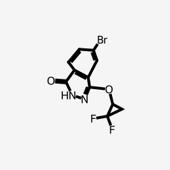 O=c1[nH]nc(OC2CC2(F)F)c2cc(Br)ccc12